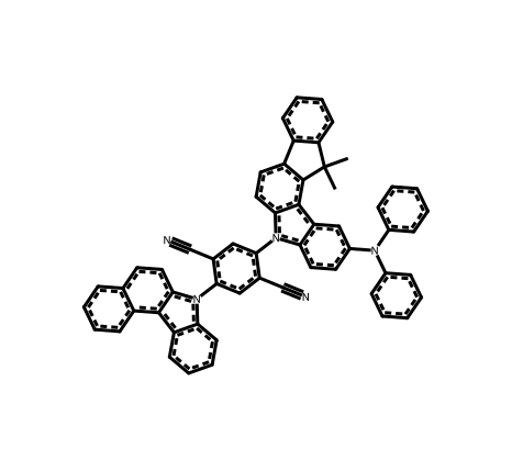 CC1(C)c2ccccc2-c2ccc3c(c21)c1cc(N(c2ccccc2)c2ccccc2)ccc1n3-c1cc(C#N)c(-n2c3ccccc3c3c4ccccc4ccc32)cc1C#N